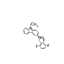 CCn1c2ccccc2c2cc(NCc3c(F)ccc(F)c3F)ccc21